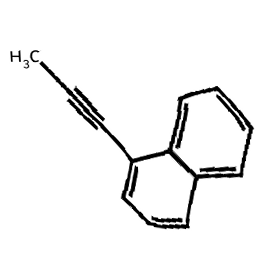 CC#Cc1cccc2ccccc12